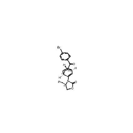 CC(C)[C@@H]1COC(=O)N1C1=C[C@@H]2CC[C@H]1C[C@@H]2C(=O)c1ccc(Br)cc1